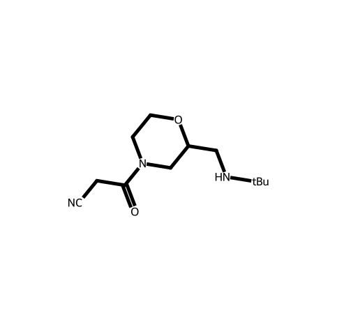 CC(C)(C)NCC1CN(C(=O)CC#N)CCO1